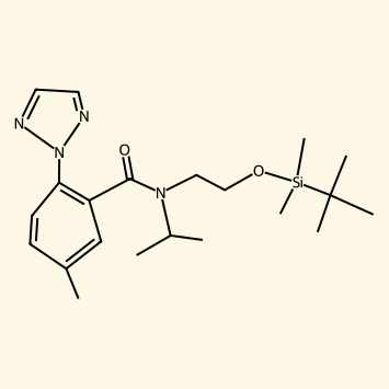 Cc1ccc(-n2nccn2)c(C(=O)N(CCO[Si](C)(C)C(C)(C)C)C(C)C)c1